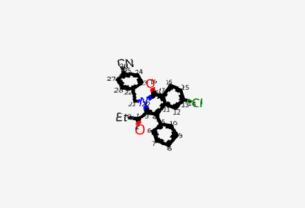 CCC(=O)c1c(-c2ccccc2)c2cc(Cl)ccc2c(=O)n1Cc1ccc(C#N)cc1